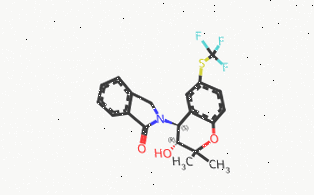 CC1(C)Oc2ccc(SC(F)(F)F)cc2[C@H](N2Cc3ccccc3C2=O)[C@H]1O